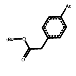 CC(=O)c1ccc(CC(=O)OC(C)(C)C)cc1